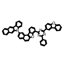 c1ccc(-c2nc(-c3ccc4oc5ccccc5c4c3)nc(-c3cccc4c3oc3ccc5ccc(-n6c7ccccc7c7cc8ccccc8cc76)cc5c34)n2)cc1